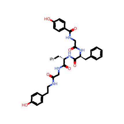 CC(C)C[C@H](NC(=O)[C@H](Cc1ccccc1)NC(=O)CNC(=O)c1ccc(O)cc1)C(=O)NCC(=O)NCCc1ccc(O)cc1